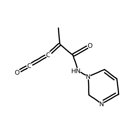 CC(=C=C=O)C(=O)NN1C=CC=NC1